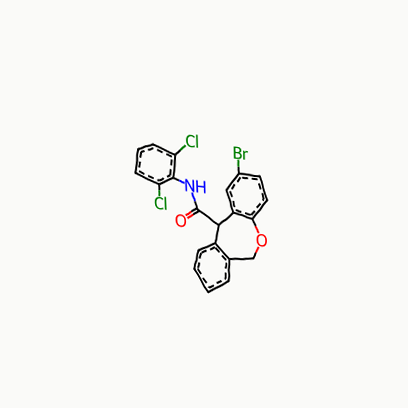 O=C(Nc1c(Cl)cccc1Cl)C1c2ccccc2COc2ccc(Br)cc21